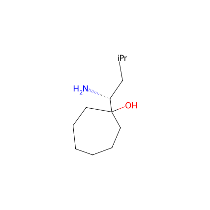 CC(C)C[C@@H](N)C1(O)CCCCCC1